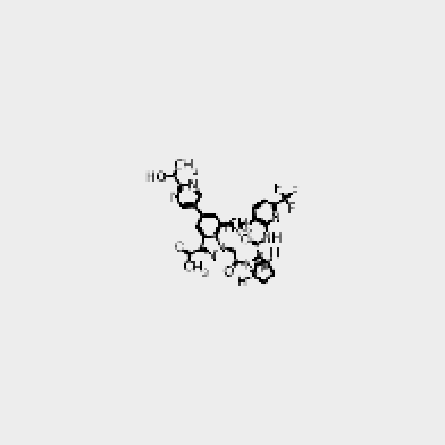 CC(=O)c1nn(CC(=O)N2[C@H]3CC[C@H](C3)[C@H]2C(=O)Nc2nc(C(F)(F)F)ccc2C)c2c(C)cc(-c3cnc(C(C)O)nc3)cc12